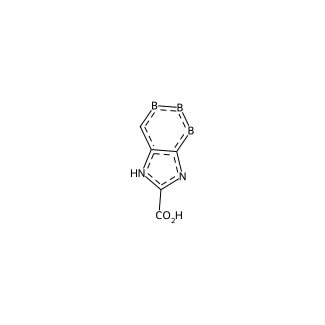 O=C(O)c1nc2bbbcc2[nH]1